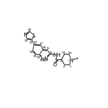 CN1CCC(C(=O)Nc2cc3cc(-c4cncs4)ccc3nn2)CC1